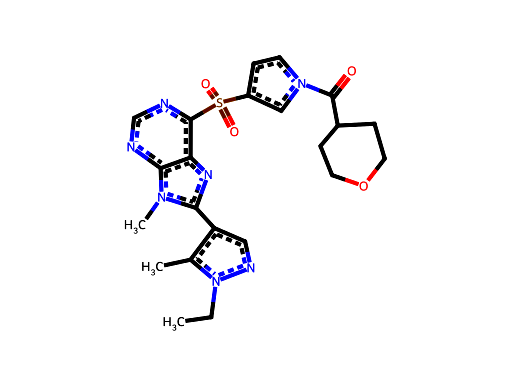 CCn1ncc(-c2nc3c(S(=O)(=O)c4ccn(C(=O)C5CCOCC5)c4)ncnc3n2C)c1C